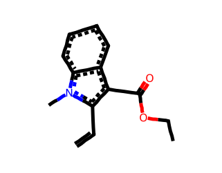 C=Cc1c(C(=O)OCC)c2ccccc2n1C